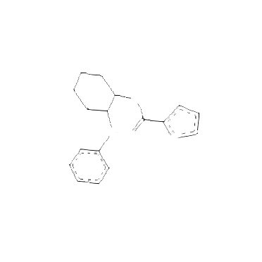 O=C(OC1CCCCC1[Se]c1ccccc1)c1ccco1